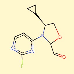 O=CC1OC[C@H](C2CC2)N1c1ccnc(F)n1